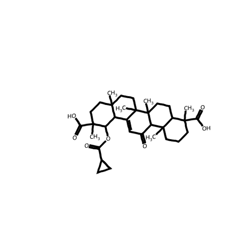 CC12CCC(C)(C(=O)O)C(OC(=O)C3CC3)C1C1=CC(=O)C3C4(C)CCCC(C)(C(=O)O)C4CCC3(C)C1(C)CC2